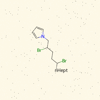 CCCCCCCC(Br)CCC(Br)Cn1cccc1